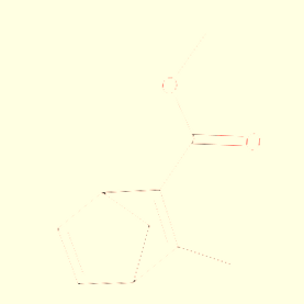 COC(=O)C1=C(C)C2C=CC1C2